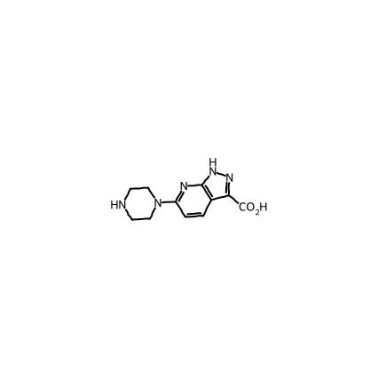 O=C(O)c1n[nH]c2nc(N3CCNCC3)ccc12